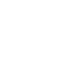 C1=CC[C]([Zr+2][C]2=C(c3ccccc3)C=CC2)=C1.[Cl-].[Cl-]